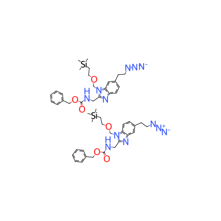 C[Si](C)(C)CCOCn1c(CNC(=O)OCc2ccccc2)nc2cc(CCN=[N+]=[N-])ccc21.C[Si](C)(C)CCOCn1c(CNC(=O)OCc2ccccc2)nc2ccc(CCN=[N+]=[N-])cc21